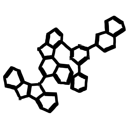 c1ccc(-c2nc(-c3ccc4ccccc4c3)nc(-c3cccc4oc5cc(-n6c7ccccc7c7sc8ccccc8c76)c6ccccc6c5c34)n2)cc1